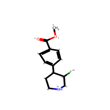 COC(=O)c1ccc(C2CCNCC2F)cc1